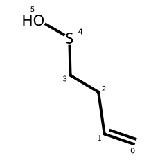 C=CCCSO